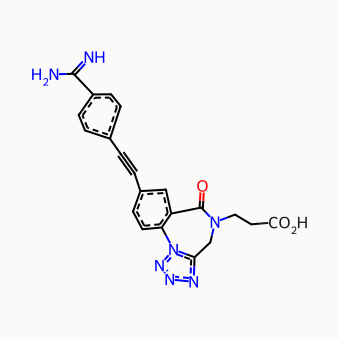 N=C(N)c1ccc(C#Cc2ccc3c(c2)C(=O)N(CCC(=O)O)Cc2nnnn2-3)cc1